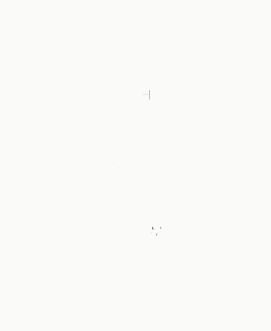 CC1=C[CH]([Mg+])C1.[I-]